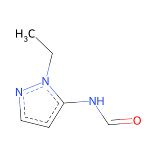 CCn1nccc1NC=O